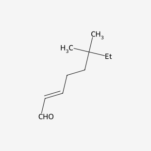 CCC(C)(C)CC/C=C/C=O